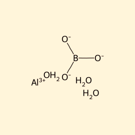 O.O.O.[Al+3].[O-]B([O-])[O-]